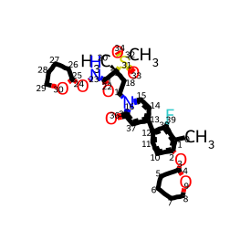 Cc1c(OC2CCCCO2)ccc(-c2ccn(CC[C@](C)(C(=O)NOC3CCCCO3)S(C)(=O)=O)c(=O)c2)c1F